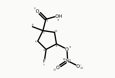 CC1(C(=O)O)CC(F)C(O[N+](=O)[O-])C1